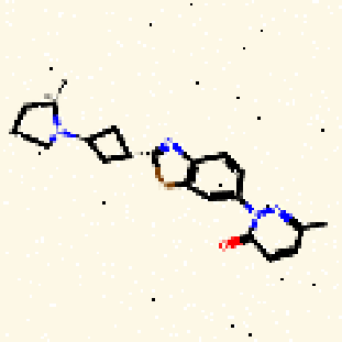 Cc1ccc(=O)n(-c2ccc3nc([C@H]4C[C@H](N5CCC[C@@H]5C)C4)sc3c2)n1